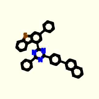 c1ccc(-c2cc(-c3nc(-c4ccccc4)nc(-c4ccc(-c5ccc6ccccc6c5)cc4)n3)c3c(c2)sc2ccccc23)cc1